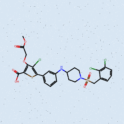 COC(=O)COc1c(C(=O)O)sc(-c2cccc(NC3CCN(S(=O)(=O)Cc4cccc(Cl)c4Cl)CC3)c2)c1Cl